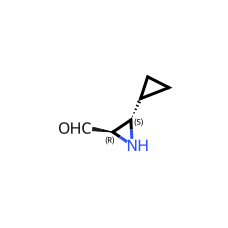 O=C[C@@H]1N[C@H]1C1CC1